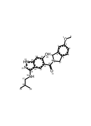 COc1ccc2c(c1)CN(C(=O)c1cc3c(NCC(C)C)n[nH]c3cc1O)C2